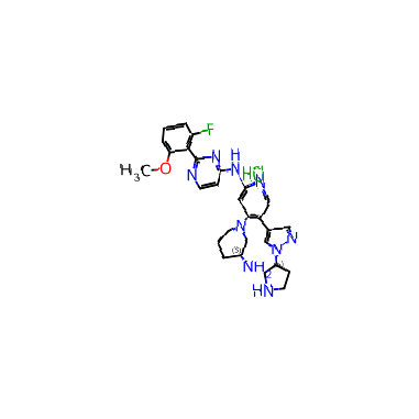 COc1cccc(F)c1-c1nccc(Nc2cc(N3CCC[C@H](N)C3)c(-c3cnn([C@H]4CCNC4)c3)cn2)n1.Cl